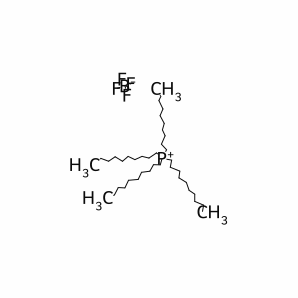 CCCCCCCCCC[P+](CCCCCCCCCC)(CCCCCCCCCC)CCCCCCCCCC.F[B-](F)(F)F